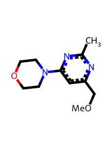 COCc1cc(N2CCOCC2)nc(C)n1